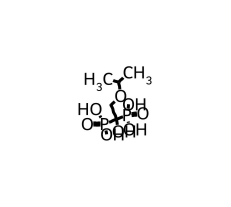 CC(C)OCC(O)(P(=O)(O)O)P(=O)(O)O